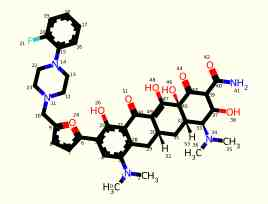 CN(C)c1cc(-c2ccc(CN3CCN(c4ccccc4F)CC3)o2)c(O)c2c1C[C@H]1C[C@H]3[C@H](N(C)C)C(O)C(C(N)=O)C(=O)[C@@]3(O)C(O)=C1C2=O